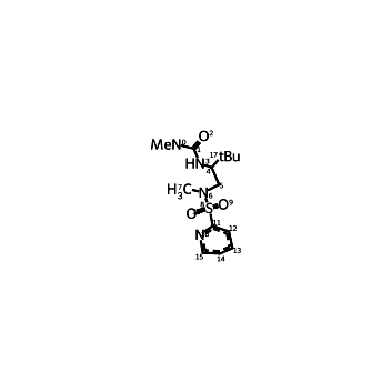 CNC(=O)NC(CN(C)S(=O)(=O)c1ccccn1)C(C)(C)C